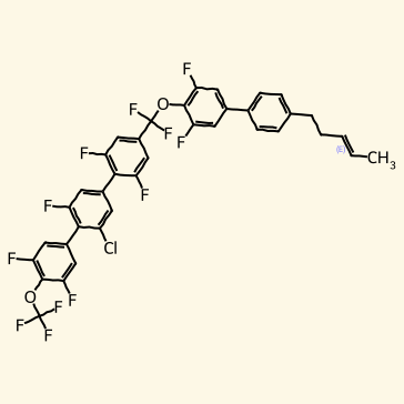 C/C=C/CCc1ccc(-c2cc(F)c(OC(F)(F)c3cc(F)c(-c4cc(F)c(-c5cc(F)c(OC(F)(F)F)c(F)c5)c(Cl)c4)c(F)c3)c(F)c2)cc1